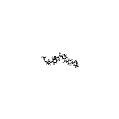 CC(c1ccnc(Nc2nc3ccc(-c4cnn(CC5CC5)c4)c(F)c3[nH]2)c1)N1CCN(C(=O)CC(F)(F)F)CC1